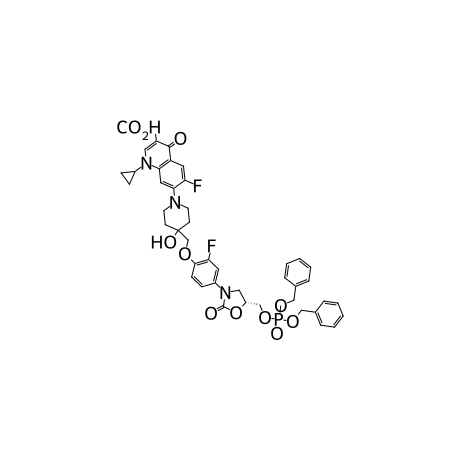 O=C(O)c1cn(C2CC2)c2cc(N3CCC(O)(COc4ccc(N5C[C@H](COP(=O)(OCc6ccccc6)OCc6ccccc6)OC5=O)cc4F)CC3)c(F)cc2c1=O